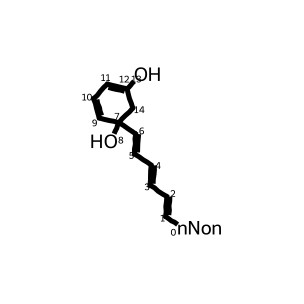 CCCCCCCCCC=CC=CC=CC1(O)C=CC=C(O)C1